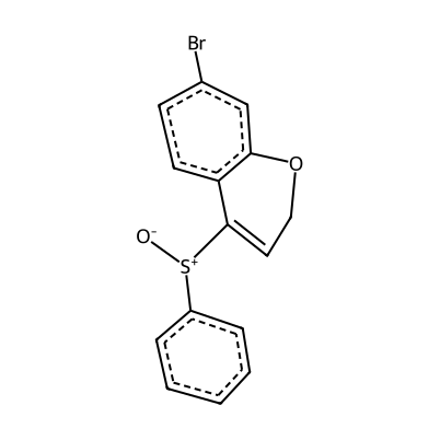 [O-][S+](C1=CCOc2cc(Br)ccc21)c1ccccc1